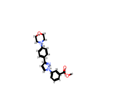 COC(=O)c1cccc(-n2ccc(-c3ccc(N4CCOCC4)cc3)n2)c1